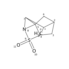 CC1C2CC3C4(C2)C1N4S3(=O)=O